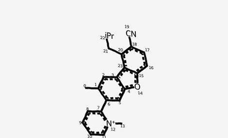 Cc1cc2c(cc1-c1cccc[n+]1C)oc1ccc(C#N)c(CC(C)C)c12